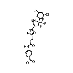 O=C(CSc1nnc(C2=NNC(c3cc(Cl)cc(Cl)c3)(C(F)(F)F)C2)o1)Nc1ccc([N+](=O)[O-])cc1